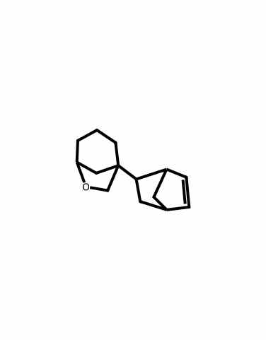 C1=CC2CC1CC2C12CCCC(C1)OC2